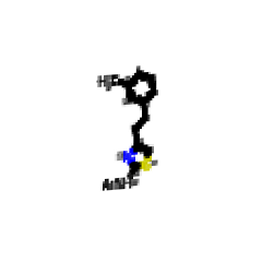 [CH2]c1cccc(CCc2csc(NC(C)=O)n2)c1